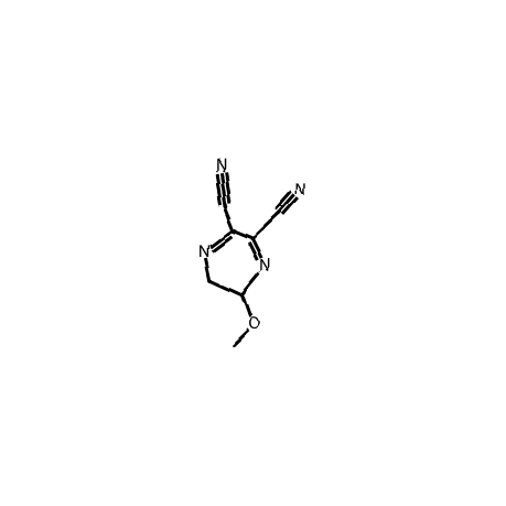 COC1CN=C(C#N)C(C#N)=N1